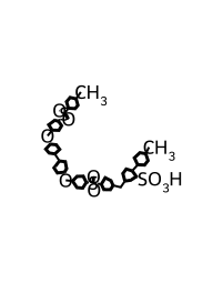 Cc1ccc(-c2ccc(Cc3ccc(S(=O)(=O)c4ccc(Oc5ccc(-c6ccc(Oc7ccc(S(=O)(=O)c8ccc(C)cc8)cc7)cc6)cc5)cc4)cc3)cc2S(=O)(=O)O)cc1